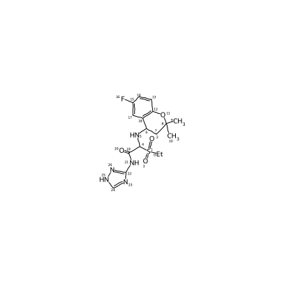 CCS(=O)(=O)C(NC1CC(C)(C)Oc2ccc(F)cc21)C(=O)Nc1nc[nH]n1